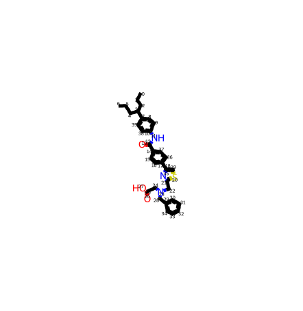 CCCC(CCC)c1ccc(NC(=O)c2ccc(-c3csc(CN(CC(=O)O)Cc4ccccc4)n3)cc2)cc1